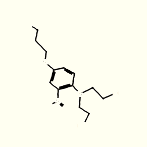 O=[N+]([O-])c1cc(NCCCO)ccc1N(CCO)CCO